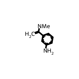 C=C(NC)c1cccc(N)c1